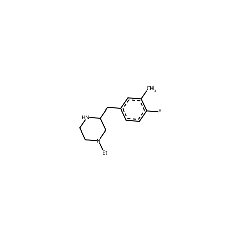 CCN1CCNC(Cc2ccc(F)c(C)c2)C1